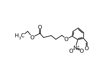 CCOC(=O)CCCCOc1cccc(C=O)c1[N+](=O)[O-]